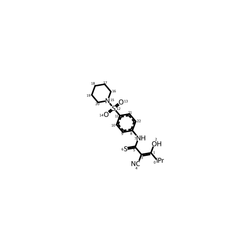 CC(C)C(O)=C(C#N)C(=S)Nc1ccc(S(=O)(=O)N2CCCCC2)cc1